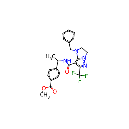 COC(=O)c1ccc(C(C)NC(=O)c2c(C(F)(F)F)nn3c2N(Cc2ccccc2)CC3)cc1